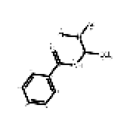 CC(=O)N(Cl)C(NC(=O)c1ccccc1)C(Cl)(Cl)Cl